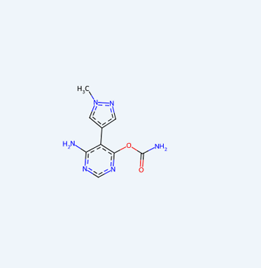 Cn1cc(-c2c(N)ncnc2OC(N)=O)cn1